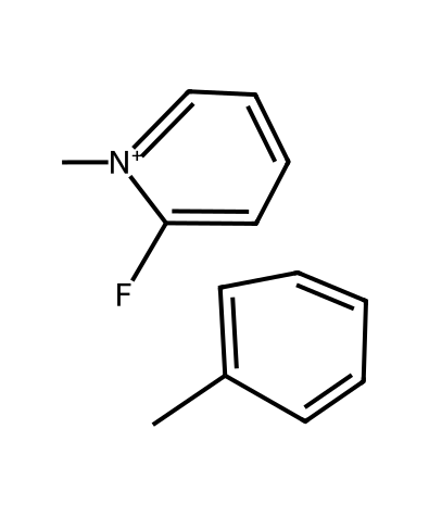 C[n+]1ccccc1F.Cc1ccccc1